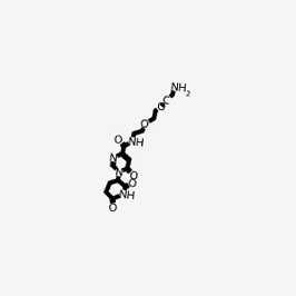 NCCOCCOCCNC(=O)c1cc(=O)n(C2CCC(=O)NC2=O)cn1